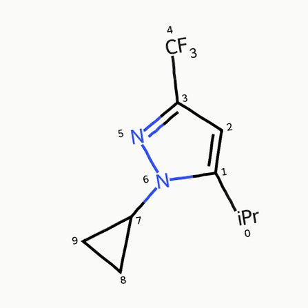 CC(C)c1cc(C(F)(F)F)nn1C1CC1